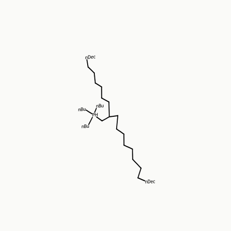 CCCCCCCCCCCCCCCCCCC(CCCCCCCCCCCCCCCC)C[PH](CCCC)(CCCC)CCCC